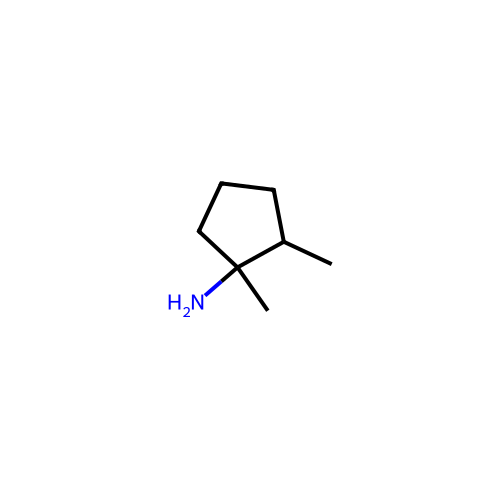 CC1CCCC1(C)N